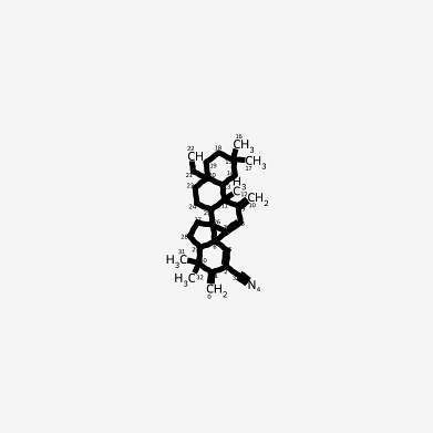 C=C1C(C#N)=CC23C4=CC(=C)C5(C)C6CC(C)(C)CCC6(CC)CCC5C42CCC3C1(C)C